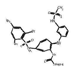 CCCCCCCC(=O)Nc1cc(NS(=O)(=O)c2c(C(C)C)cc(C(C)C)cc2C(C)C)ccc1Nc1cccc(NS(C)(=O)=O)c1